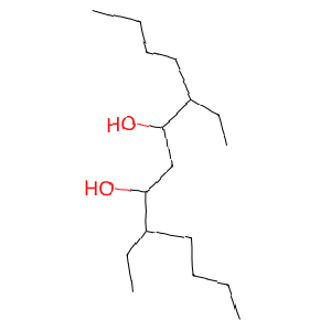 CCCCC(CC)C(O)CC(O)C(CC)CCCC